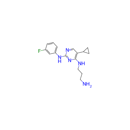 NCCCNc1nc(Nc2cccc(F)c2)ncc1C1CC1